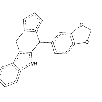 c1ccc2c3c([nH]c2c1)C(c1ccc2c(c1)OCO2)n1cccc1C3